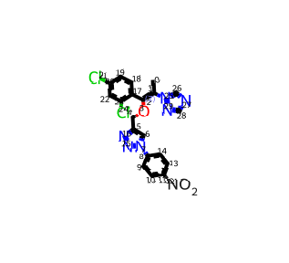 C/C(=C(/OCc1cn(-c2ccc([N+](=O)[O-])cc2)nn1)c1ccc(Cl)cc1Cl)n1cncn1